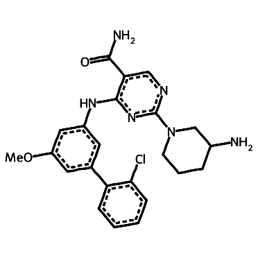 COc1cc(Nc2nc(N3CCCC(N)C3)ncc2C(N)=O)cc(-c2ccccc2Cl)c1